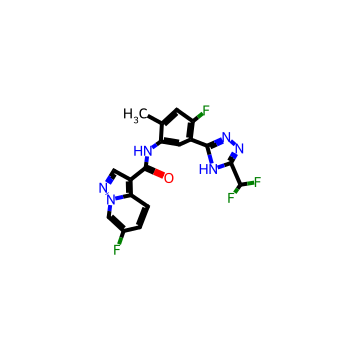 Cc1cc(F)c(-c2nnc(C(F)F)[nH]2)cc1NC(=O)c1cnn2cc(F)ccc12